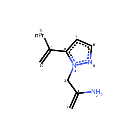 C=C(N)Cn1nccc1C(=C)CCC